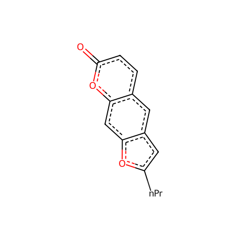 CCCc1cc2cc3ccc(=O)oc3cc2o1